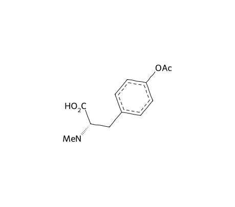 CN[C@@H](Cc1ccc(OC(C)=O)cc1)C(=O)O